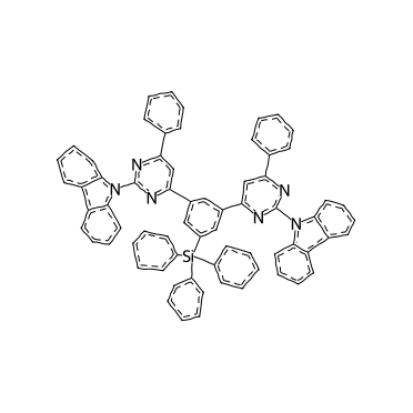 c1ccc(-c2cc(-c3cc(-c4cc(-c5ccccc5)nc(-n5c6ccccc6c6ccccc65)n4)cc([Si](c4ccccc4)(c4ccccc4)c4ccccc4)c3)nc(-n3c4ccccc4c4ccccc43)n2)cc1